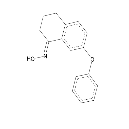 ON=C1CCCc2ccc(Oc3ccccc3)cc21